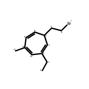 CCC1=CC(CCBr)C=CC(C)=C1